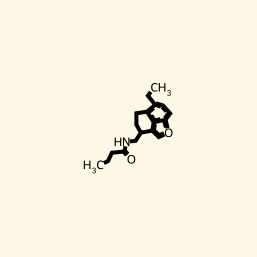 CCCC(=O)NCC1CCc2c(CC)ccc3occ1c23